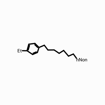 CCCCCCCCCCCCCCCCc1ccc(CC)cc1